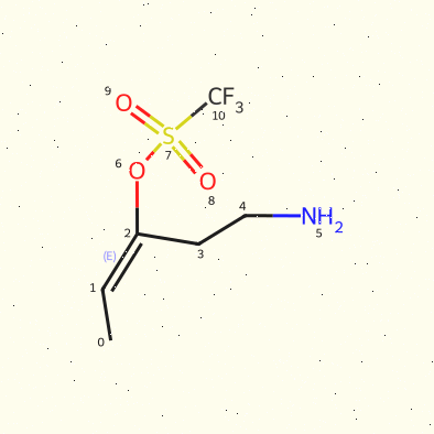 C/C=C(\CCN)OS(=O)(=O)C(F)(F)F